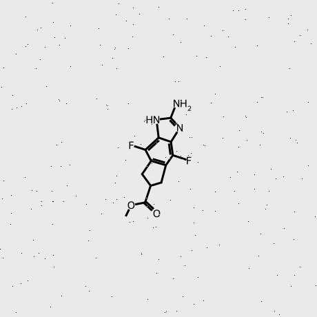 COC(=O)C1Cc2c(c(F)c3[nH]c(N)nc3c2F)C1